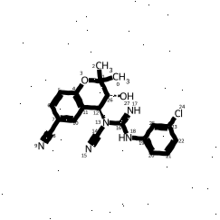 CC1(C)Oc2ccc(C#N)cc2[C@H](N(C#N)C(=N)Nc2cccc(Cl)c2)[C@H]1O